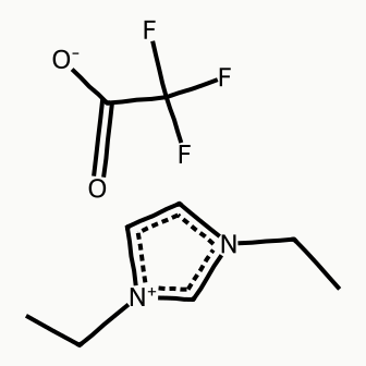 CCn1cc[n+](CC)c1.O=C([O-])C(F)(F)F